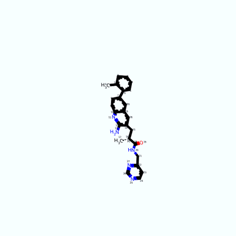 Cc1ccccc1-c1ccc2nc(N)c(C[C@@H](C)C(=O)NCc3ccncn3)cc2c1